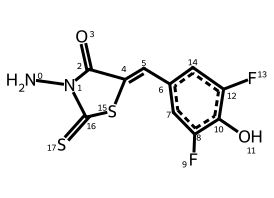 NN1C(=O)/C(=C/c2cc(F)c(O)c(F)c2)SC1=S